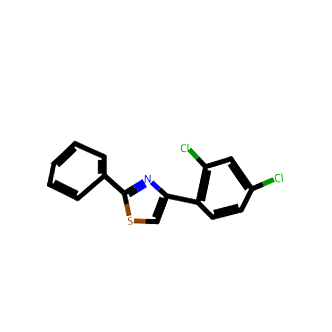 Clc1ccc(-c2csc(-c3cc[c]cc3)n2)c(Cl)c1